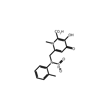 Cc1ccccc1N(Cc1cc(=O)c(O)c(C(=O)O)n1C)[SH](=O)=O